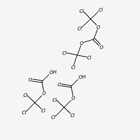 O=C(O)OC(Cl)(Cl)Cl.O=C(O)OC(Cl)(Cl)Cl.O=C(OC(Cl)(Cl)Cl)OC(Cl)(Cl)Cl